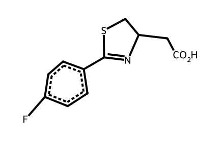 O=C(O)CC1CSC(c2ccc(F)cc2)=N1